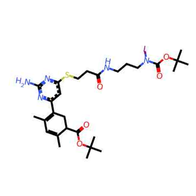 CC1=CC(C)=C(c2cc(SCCC(=O)NCCCN(I)C(=O)OC(C)(C)C)nc(N)n2)CC1C(=O)OC(C)(C)C